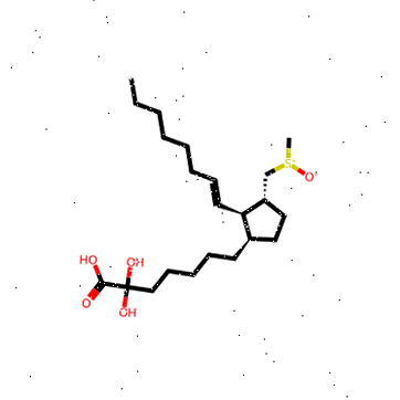 CCCCCCC=C[C@@H]1[C@H](CCCCCC(O)(O)C(=O)O)CC[C@H]1C[S+](C)[O-]